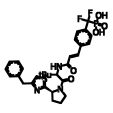 CC(C)(C)C(NC(=O)/C=C/c1ccc(C(F)(F)P(=O)(O)O)cc1)C(=O)N1CCC[C@H]1c1nc(Cc2ccccc2)cs1